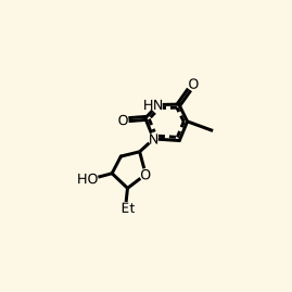 CCC1OC(n2cc(C)c(=O)[nH]c2=O)CC1O